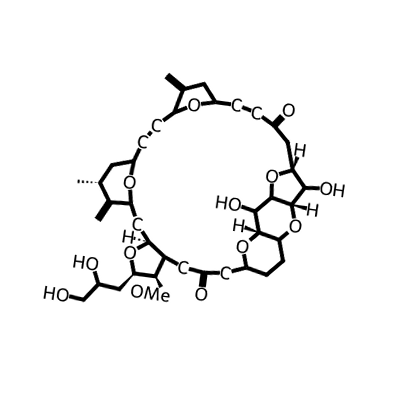 C=C1CC2CCC(=O)C[C@H]3OC4C(O)[C@H]5OC(CCC5O[C@H]4C3O)CC(=O)CC3[C@H](CC4OC(CCC1O2)C[C@@H](C)C4=C)O[C@H](CC(O)CO)[C@@H]3OC